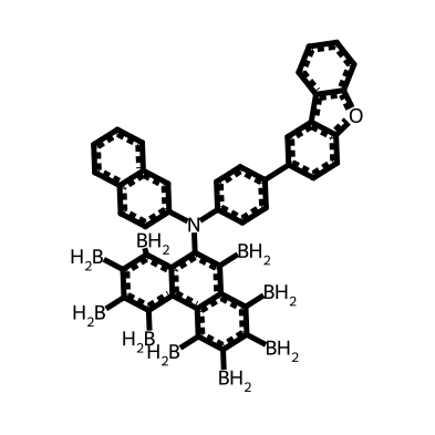 Bc1c(B)c(B)c2c(c1B)c(B)c(N(c1ccc(-c3ccc4oc5ccccc5c4c3)cc1)c1ccc3ccccc3c1)c1c(B)c(B)c(B)c(B)c12